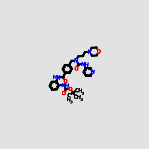 CC(C)(C)OC(=O)Nc1ccccc1NC(=O)c1ccc(CN(CCCN2CCOCC2)C(=O)Nc2cccnc2)cc1